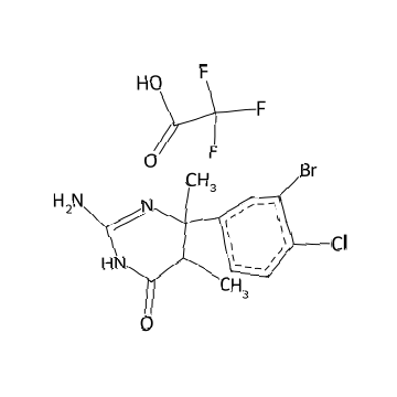 CC1C(=O)NC(N)=NC1(C)c1ccc(Cl)c(Br)c1.O=C(O)C(F)(F)F